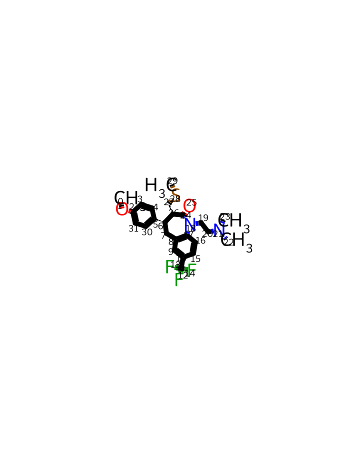 COc1ccc([C@H]2Cc3cc(C(F)(F)F)ccc3N(CCN(C)C)C(=O)[C@H]2CSC)cc1